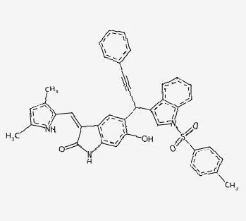 Cc1ccc(S(=O)(=O)n2cc(C(C#Cc3ccccc3)c3cc4c(cc3O)NC(=O)/C4=C\c3[nH]c(C)cc3C)c3ccccc32)cc1